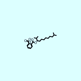 CC(C)CCCCCCCC(OC(=O)c1ccccc1C(=O)O)C(C)C